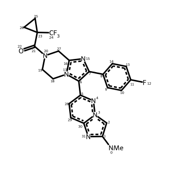 CNc1cn2nc(-c3c(-c4ccc(F)cc4)nc4n3CCN(C(=O)C3(C(F)(F)F)CC3)C4)ccc2n1